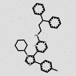 Fc1ccc(-c2ncn(C3CCCCC3)c2-c2ccnc(NCCC(c3ccccc3)c3ccccc3)n2)cc1